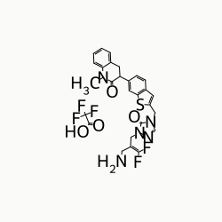 CN1C(=O)C(c2ccc3cc(Cn4cnn(CC(CN)=C(F)F)c4=O)sc3c2)Cc2ccccc21.O=C(O)C(F)(F)F